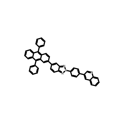 c1ccc(-c2c3ccccc3c(-c3ccccc3)c3cc(-c4ccc5nn(-c6ccc(-c7cnc8ccccc8c7)cc6)nc5c4)ccc23)cc1